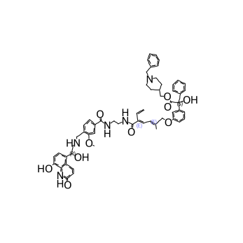 C=C/C(=C\C=C(/C)COc1cccc([C@](O)(C(=O)OCC2CCN(Cc3ccccc3)CC2)c2ccccc2)c1)C(=O)NCCNC(=O)c1ccc(CNC[C@H](O)c2ccc(O)c3[nH]c(=O)ccc23)c(OC)c1